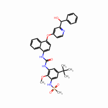 COc1c(NC(=O)Nc2ccc(Oc3ccnc(C(O)c4ccccc4)c3)c3ccccc23)cc(C(C)(C)C)cc1NS(C)(=O)=O